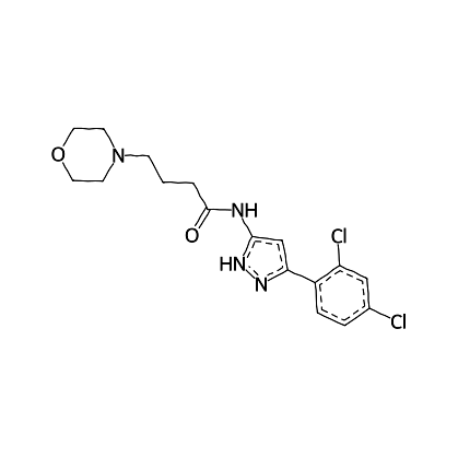 O=C(CCCN1CCOCC1)Nc1cc(-c2ccc(Cl)cc2Cl)n[nH]1